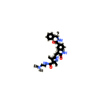 CCN(CC)CCNC(=O)c1c(C)[nH]c(/C=C2\C(=O)Nc3ccc(C(=O)N[C@@H](C)c4ccccc4)cc32)c1C